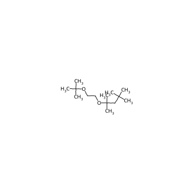 CC(C)(C)CC(C)(C)OCCOC(C)(C)C